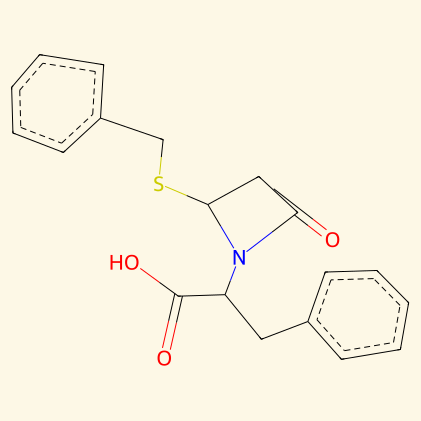 O=C(O)C(Cc1ccccc1)N1C(=O)CC1SCc1ccccc1